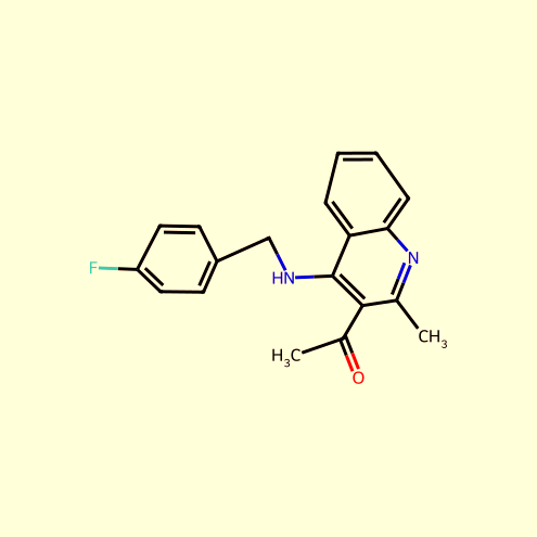 CC(=O)c1c(C)nc2ccccc2c1NCc1ccc(F)cc1